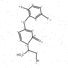 CC(C)CC(C(=O)O)n1ccc(Oc2cc(F)ccc2F)cc1=O